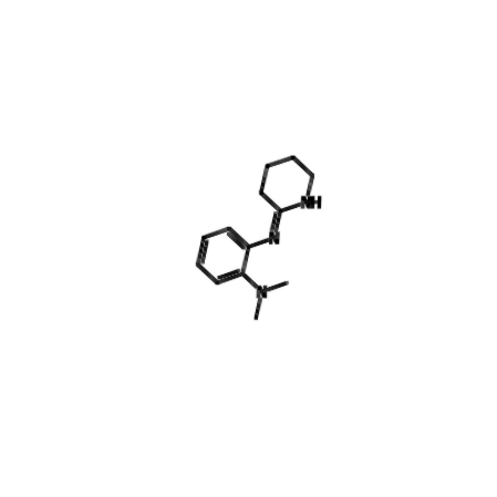 CN(C)c1ccccc1/N=C1\CCCCN1